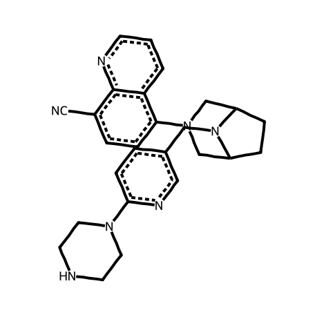 N#Cc1ccc(N2CC3CCC(C2)N3Cc2ccc(N3CCNCC3)nc2)c2cccnc12